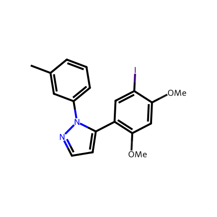 COc1cc(OC)c(-c2ccnn2-c2cccc(C)c2)cc1I